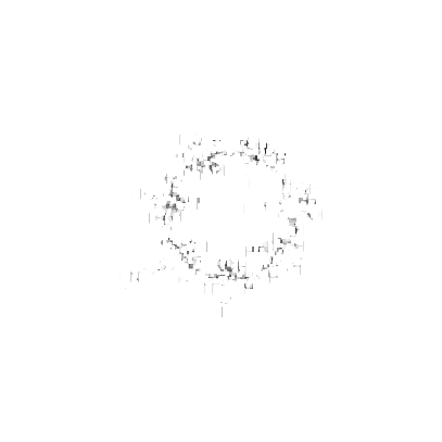 CC1O[C@H]2O[C@@H]3C(CO)O[C@H](O[C@@H]4C(CO)O[C@H](O[C@@H]5C(CO)O[C@@H](O[C@@H]6C(CSCCN)O[C@H](O[C@@H]7C(CO)O[C@@H](O[C@@H]8C(CO)O[C@@H](O[C@H]1[C@H](O)C2O)C(O)[C@H]8O)C(O)[C@H]7O)C(O)[C@H]6O)C(O)[C@H]5O)C(O)[C@H]4O)C(O)[C@H]3O